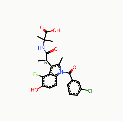 Cc1c([C@@H](C)C(=O)NC(C)(C)C(=O)O)c2c(F)c(O)ccc2n1C(=O)c1cccc(Cl)c1